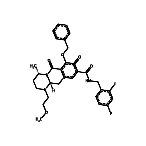 COCCN1CC[C@H](C)N2C(=O)c3c(OCc4ccccc4)c(=O)c(C(=O)NCc4ccc(F)cc4F)cn3C[C@@H]12